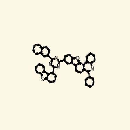 c1ccc(-c2nc3ccccc3c3c2ccc2c4cc(-c5nc(-c6ccc7ccccc7c6)nc(-c6cccc7sc8ccccc8c67)n5)ccc4oc23)cc1